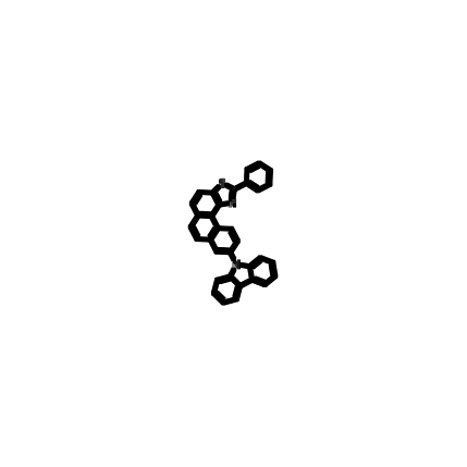 c1ccc(-c2nc3c(ccc4ccc5cc(-n6c7ccccc7c7ccccc76)ccc5c43)s2)cc1